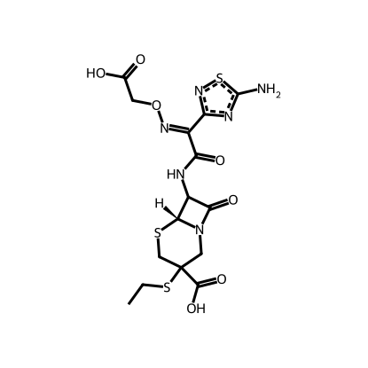 CCSC1(C(=O)O)CS[C@@H]2C(NC(=O)C(=NOCC(=O)O)c3nsc(N)n3)C(=O)N2C1